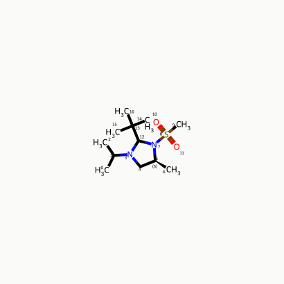 CC(C)N1C[C@H](C)N(S(C)(=O)=O)C1C(C)(C)C